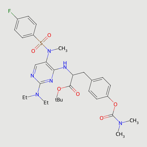 CCN(CC)c1ncc(N(C)S(=O)(=O)c2ccc(F)cc2)c(NC(Cc2ccc(OC(=O)N(C)C)cc2)C(=O)OC(C)(C)C)n1